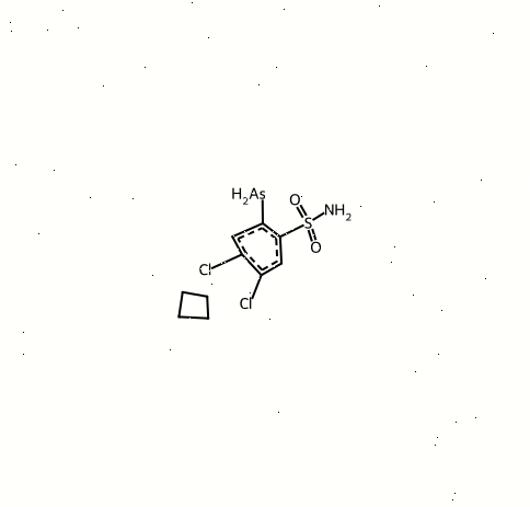 C1CCC1.NS(=O)(=O)c1cc(Cl)c(Cl)cc1[AsH2]